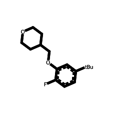 CC(C)(C)c1ccc(F)c(OCC2CCOCC2)c1